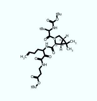 C=CCCC(NC(=O)[C@@H]1[C@@H]2[C@H](CN1C(=O)C(NC(=O)OC(C)(C)C)C(C)(C)C)C2(C)C)C(=O)C(=O)NCCC(=O)OC(C)(C)C